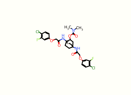 CN(C)C(=O)OC1CC2(NC(=O)COc3ccc(Cl)c(F)c3)CCC1(NC(=O)COc1ccc(Cl)c(F)c1)CC2